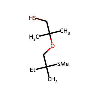 CCC(C)(COC(C)(C)CS)SC